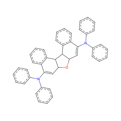 C1=C(N(c2ccccc2)c2ccccc2)c2ccccc2C2C1OC1C=C(N(c3ccccc3)c3ccccc3)c3ccccc3C12